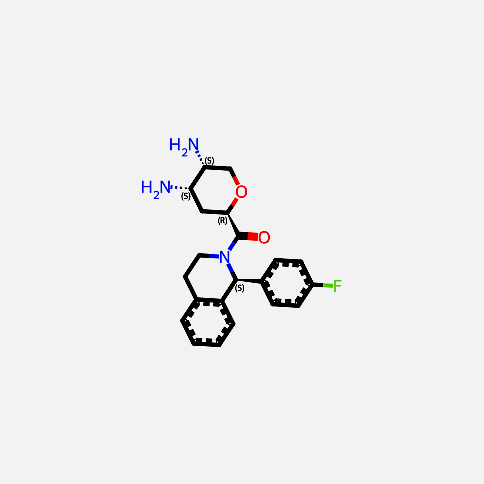 N[C@@H]1CO[C@@H](C(=O)N2CCc3ccccc3[C@@H]2c2ccc(F)cc2)C[C@@H]1N